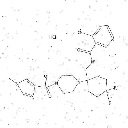 Cl.Cn1cnc(S(=O)(=O)N2CCN(C3(CNC(=O)c4ccccc4Cl)CCC(F)(F)CC3)CC2)c1